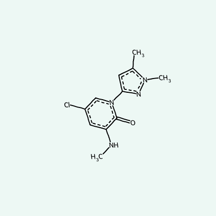 CNc1cc(Cl)cn(-c2cc(C)n(C)n2)c1=O